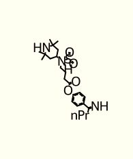 CCCC(=N)c1ccc(OC(=O)CCCN(C2CC(C)(C)NC(C)(C)C2)[SH](=O)=O)cc1